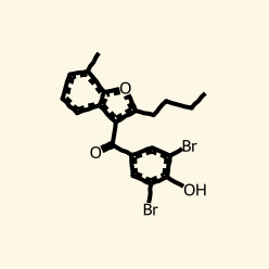 CCCCc1oc2c(C)cccc2c1C(=O)c1cc(Br)c(O)c(Br)c1